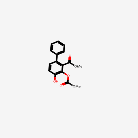 COC(=O)Oc1c(O)ccc(-c2ccccc2)c1C(=O)OC